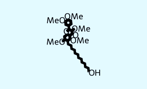 COc1ccc(-c2oc3cc(OC)c(CCCCCCCCCCCCCO)c(OC)c3c(=O)c2OC)cc1OC